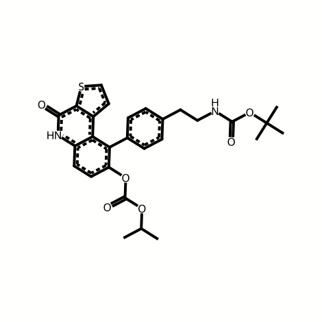 CC(C)OC(=O)Oc1ccc2[nH]c(=O)c3sccc3c2c1-c1ccc(CCNC(=O)OC(C)(C)C)cc1